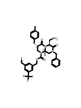 Cc1ccc(C[C@H]2CN(C(=O)OCc3cc(CF)cc(C(F)(F)F)c3)[C@H]3CN(Cc4ccccc4)C(=O)[C@H](CN)N3C2=O)cc1